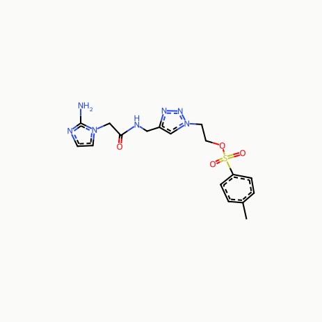 Cc1ccc(S(=O)(=O)OCCn2cc(CNC(=O)Cn3ccnc3N)nn2)cc1